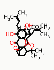 CC(C)=CCc1c(O)c(CC=C(C)C)c2c(c1O)C(=O)C1=CC3CC4C(C)(C)OC(CC=C(C)C(=O)O)(C3=O)C14O2